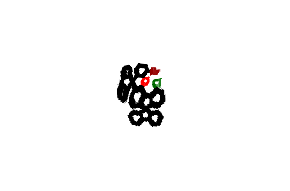 Clc1cccc2c1-c1c(ccc3c1Oc1c(Br)cccc1C31c3ccccc3-c3ccccc31)C21c2ccccc2-c2ccccc21